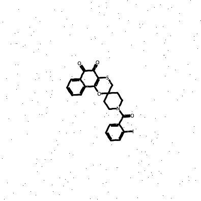 O=C1C(=O)c2ccccc2C2=C1SCC1(CCN(C(=O)c3ccccc3I)CC1)O2